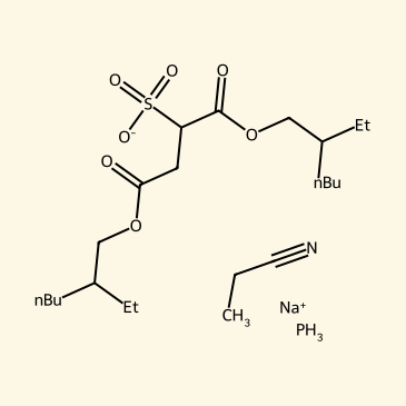 CCC#N.CCCCC(CC)COC(=O)CC(C(=O)OCC(CC)CCCC)S(=O)(=O)[O-].P.[Na+]